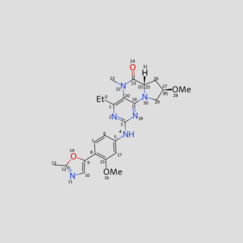 CCc1nc(Nc2ccc(-c3cnc(C)o3)c(OC)c2)nc2c1N(C)C(=O)[C@@H]1C[C@@H](OC)CN21